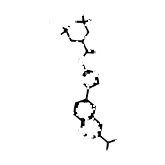 CC1(C)CC(C(=O)Nc2ncc(-c3ccc4nnc(C(F)F)cc4c3)s2)CC(C)(C)O1